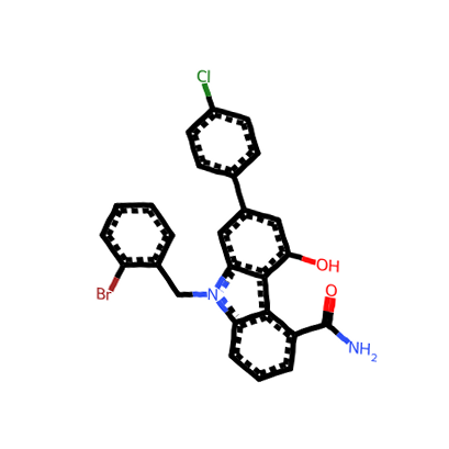 NC(=O)c1cccc2c1c1c(O)cc(-c3ccc(Cl)cc3)cc1n2Cc1ccccc1Br